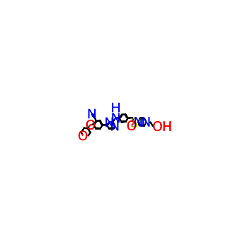 N#Cc1cc(-c2ccnc(Nc3ccc(C[S+]([O-])N4CCN(CCO)CC4)cc3)n2)ccc1OC1CCOCC1